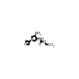 N[C@@H]1CN(C2COC2)C[C@@H]1NC(=O)OCC(Cl)(Cl)Cl